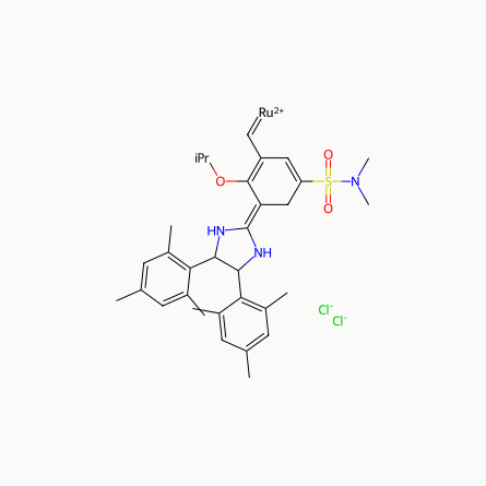 Cc1cc(C)c(C2NC(=C3CC(S(=O)(=O)N(C)C)=CC([CH]=[Ru+2])=C3OC(C)C)NC2c2c(C)cc(C)cc2C)c(C)c1.[Cl-].[Cl-]